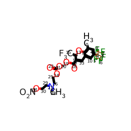 Cc1cc(S(F)(F)(F)(F)F)cc2c1OC(C(F)(F)F)C(C(=O)OCOC(=O)OCCN(C)CCO[N+](=O)[O-])=C2